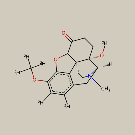 [2H]O[C@@]12CCC(=O)C3Oc4c(OC([2H])([2H])[2H])c([2H])c([2H])c5c4[C@@]31CCN(C)[C@@H]2C5